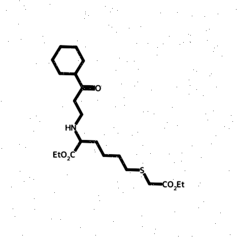 CCOC(=O)CSCCCCC(NCCC(=O)C1CCCCC1)C(=O)OCC